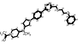 CC(=O)N1CCC(N(C)C2CCN(c3ccc(-c4nnc(CSCCOc5ccccc5)o4)cc3)C2)CC1